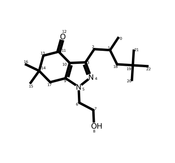 CC(Cc1nn(CCO)c2c1C(=O)CC(C)(C)C2)CC(C)(C)C